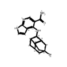 NC(=O)c1cnc2[nH]ccc2c1NC1C2CC3CC1CC(Br)(C3)C2